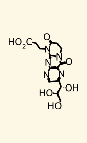 O=C(O)CCN1C(=O)CCn2c1nc1ncc([C@H](O)[C@H](O)CO)nc1c2=O